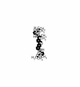 C=C(C)c1nc([C@@H]2CC[C@H](C)N2C(=O)OC(C)(C)C)[nH]c1-c1ccc2c(c1)COc1cc3c(ccc4nc([C@@H]5CC[C@H](C)N5C(=O)OC(C)(C)C)[nH]c43)cc1-2